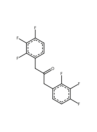 O=C(Cc1ccc(F)c(F)c1F)Cc1ccc(F)c(F)c1F